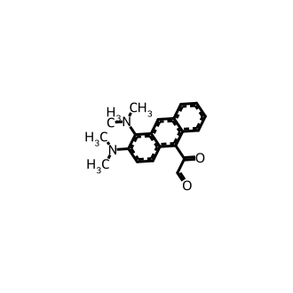 CN(C)c1ccc2c(C(=O)C=O)c3ccccc3cc2c1N(C)C